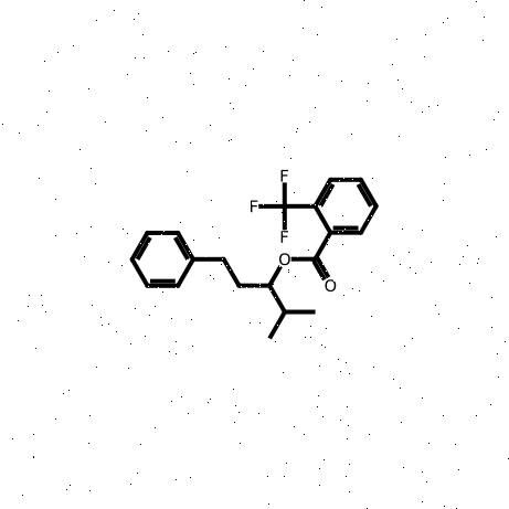 CC(C)C(CCc1ccccc1)OC(=O)c1ccccc1C(F)(F)F